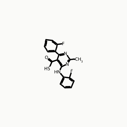 Cc1nc(Nc2ccccc2F)c(C(=O)S)c(-c2ccccc2F)n1